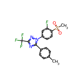 Cc1ccc(-c2nc(C(F)(F)F)nn2-c2ccc(S(C)(=O)=O)c(F)c2)cc1